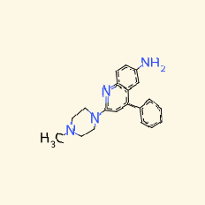 CN1CCN(c2cc(-c3ccccc3)c3cc(N)ccc3n2)CC1